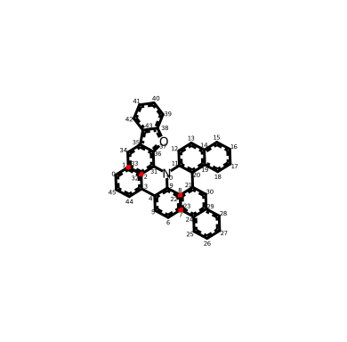 c1ccc(-c2ccccc2N(c2ccc3ccccc3c2-c2ccc3ccccc3c2)c2cccc3c2oc2ccccc23)cc1